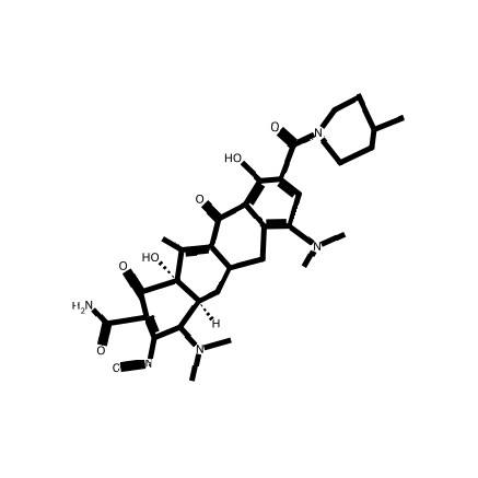 CC1=C2C(=O)c3c(O)c(C(=O)N4CCC(C)CC4)cc(N(C)C)c3CC2C[C@H]2C(N(C)C)C(N=O)=C(C(N)=O)C(=O)[C@@]12O